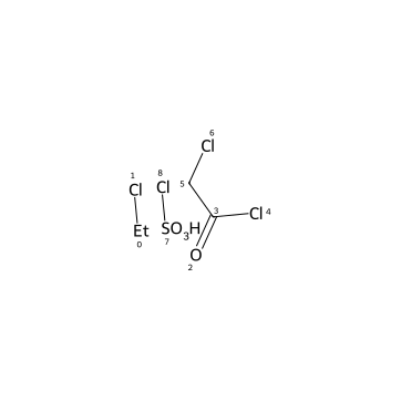 CCCl.O=C(Cl)CCl.O=S(=O)(O)Cl